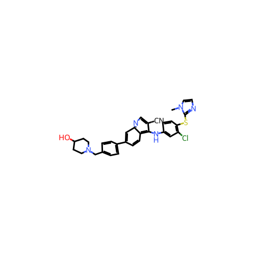 Cn1ccnc1Sc1ccc(Nc2c(C#N)cnc3cc(-c4ccc(CN5CCC(O)CC5)cc4)ccc23)cc1Cl